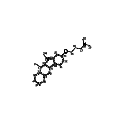 Cc1c2ccncc2cc2c3ccc(OCCCN(C)C)cc3n(C)c12